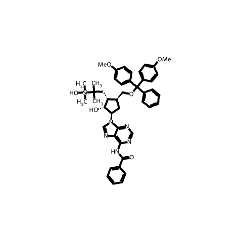 COc1ccc(C(OC[C@H]2C[C@@H](n3cnc4c(NC(=O)c5ccccc5)ncnc43)[C@H](O)[C@@H]2CC(C)(C)[Si](C)(C)O)(c2ccccc2)c2ccc(OC)cc2)cc1